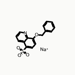 O=S(=O)([O-])c1ccc(OCc2ccccc2)c2ncccc12.[Na+]